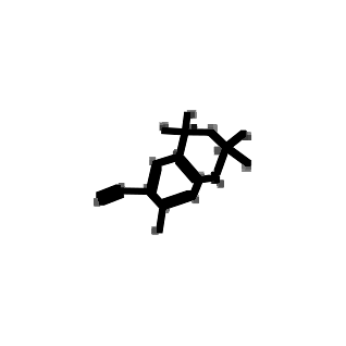 C#Cc1cc2c(cc1C)SC(C)(C)CC2(C)C